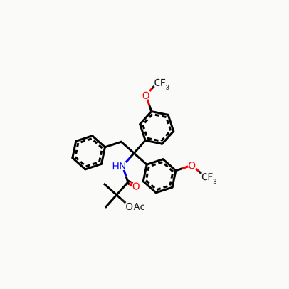 CC(=O)OC(C)(C)C(=O)NC(Cc1ccccc1)(c1cccc(OC(F)(F)F)c1)c1cccc(OC(F)(F)F)c1